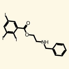 O=C(OCCNCc1ccccc1)c1cc(I)cc(I)c1I